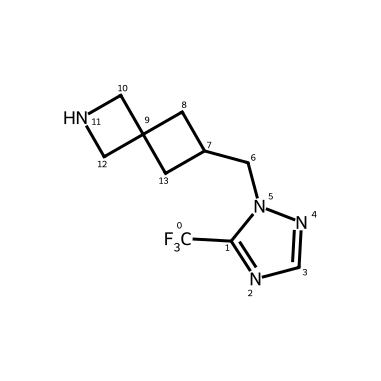 FC(F)(F)c1ncnn1CC1CC2(CNC2)C1